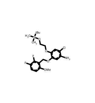 COc1ccc(F)c(F)c1COc1cc(N)c(Cl)cc1OCCO[Si](C)(C)C(C)(C)C